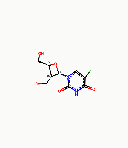 O=c1[nH]c(=O)n([C@@H]2O[C@H](CO)[C@H]2CO)cc1F